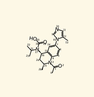 CC(=O)N1c2ccc(-n3cncc3C)cc2[C@H](N(C(=O)O)C(C)C)C[C@@H]1C